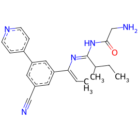 C/C=C(\N=C(\NC(=O)CN)C(C)CC)c1cc(C#N)cc(-c2ccncc2)c1